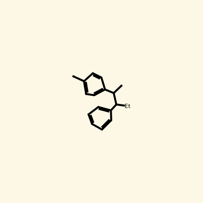 CCC(c1ccccc1)C(C)c1ccc(C)cc1